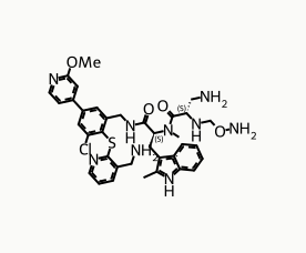 COc1cc(-c2cc(Cl)c(Sc3ncccc3CN)c(CNC(=O)[C@H](Cc3c(C)[nH]c4ccccc34)N(C)C(=O)[C@H](CN)NCON)c2)ccn1